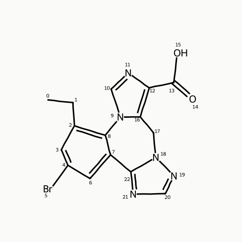 CCc1cc(Br)cc2c1-n1cnc(C(=O)O)c1Cn1ncnc1-2